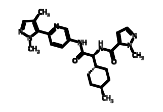 Cc1cnn(C)c1-c1ccc(NC(=O)[C@@H](NC(=O)c2ccnn2C)[C@H]2CC[C@H](C)CC2)cn1